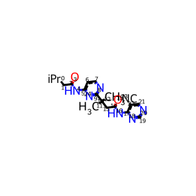 CC(C)CC(=O)Nc1ccnc(C(C)(C)CC(=O)Nc2ncncc2C#N)n1